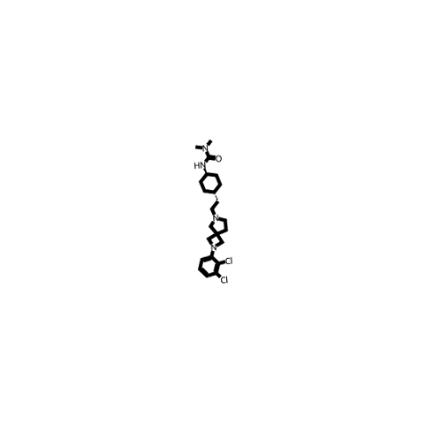 CN(C)C(=O)N[C@H]1CC[C@H](CCN2CCC3(C2)CN(c2cccc(Cl)c2Cl)C3)CC1